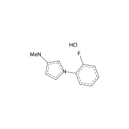 CNc1ccn(-c2ccccc2F)c1.Cl